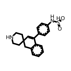 O=[SH](=O)Nc1ccc(C2=CC3(CCNCC3)Cc3ccccc32)cc1